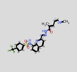 C=N/C=C\C=C(/C)C(=O)N/N=C/c1ccc2cccc(NS(=O)(=O)c3ccc(C(F)(F)F)cc3)c2n1